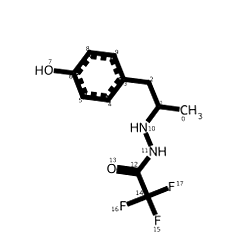 CC(Cc1ccc(O)cc1)NNC(=O)C(F)(F)F